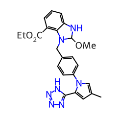 CCOC(=O)c1cccc2c1N(Cc1ccc(-n3cc(C)cc3-c3nnn[nH]3)cc1)C(OC)N2